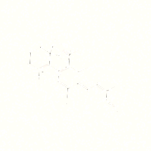 C=CC(C)=CC=CC(C)=CC(=C(CC)C(=O)O)C1=C(C)CCCC1(C)C